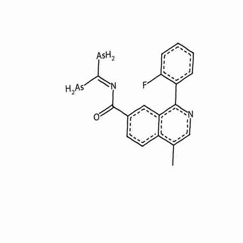 Cc1cnc(-c2ccccc2F)c2cc(C(=O)N=C([AsH2])[AsH2])ccc12